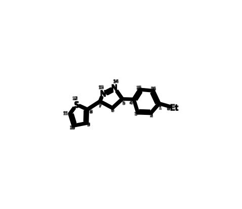 CCc1ccc(C2CC(c3cccs3)N=N2)cc1